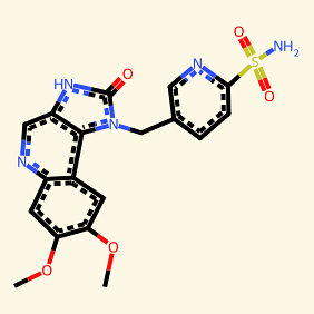 COc1cc2ncc3[nH]c(=O)n(Cc4ccc(S(N)(=O)=O)nc4)c3c2cc1OC